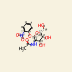 CC(=O)N[C@H]1[C@H](Oc2ccccc2[N+](=O)[O-])O[C@H](CO)[C@H](O)[C@@H]1O